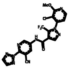 COc1nccc(-n2ncc(C(=O)Nc3cnc(-n4nccn4)c(C#N)c3)c2C(F)(F)F)c1Cl